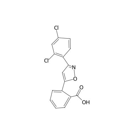 O=C(O)c1ccccc1-c1cc(-c2ccc(Cl)cc2Cl)no1